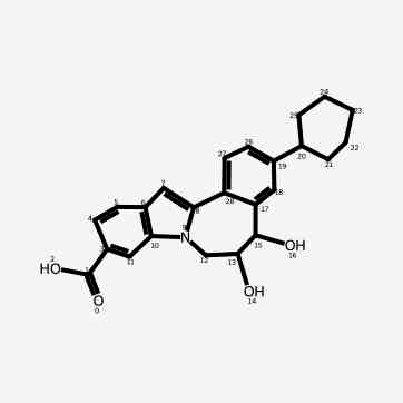 O=C(O)c1ccc2cc3n(c2c1)CC(O)C(O)c1cc(C2CCCCC2)ccc1-3